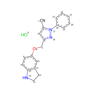 Cl.N#Cc1cc(COc2ccc3c(c2)CCN3)nn1-c1ccccc1